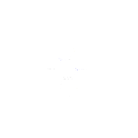 Cc1nc(=S)n(C)c2sccc12